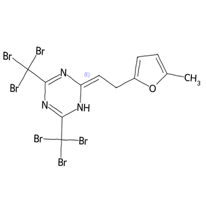 Cc1ccc(C/C=C2/N=C(C(Br)(Br)Br)N=C(C(Br)(Br)Br)N2)o1